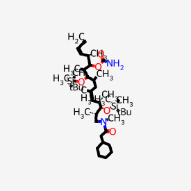 C=C/C=C\[C@H](C)C(OC(N)=O)C(C)C(O[Si](C)(C)C(C)(C)C)C(C)C/C(C)=C\[C@H](C)[C@@H](O[Si](C)(C)C(C)(C)C)[C@@H](C)CN(C)C(=O)CC1CCCCC1